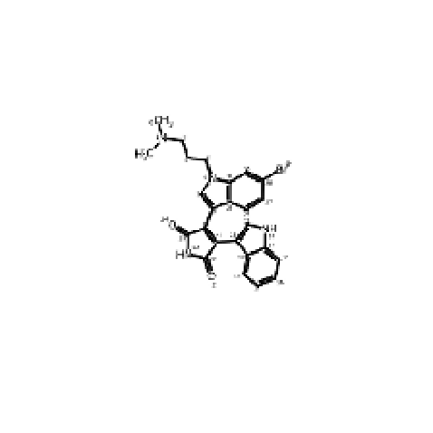 CN(C)CCCn1cc(C2=C(c3c[nH]c4ccccc34)C(=O)NC2=O)c2ccc(Br)cc21